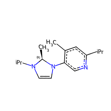 Cc1cc(C(C)C)ncc1N1C=CN(C(C)C)[C@H]1C